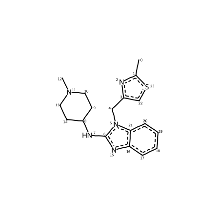 Cc1nc(Cn2c(NC3CCN(C)CC3)nc3ccccc32)cs1